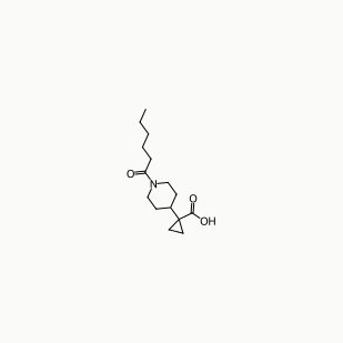 CCCCCC(=O)N1CCC(C2(C(=O)O)CC2)CC1